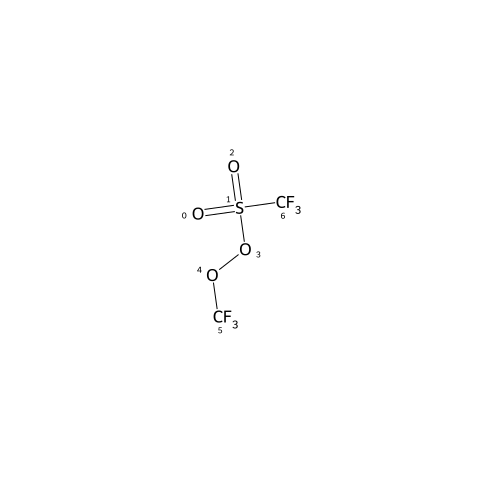 O=S(=O)(OOC(F)(F)F)C(F)(F)F